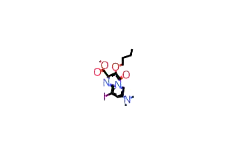 CCCCOc1c(C(=O)OC)nc2c(I)cc(N(C)C)cn2c1=O